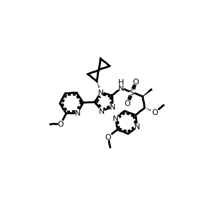 COc1cnc([C@@H](OC)[C@H](C)S(=O)(=O)Nc2nnc(-c3cccc(OC)n3)n2[C@@H]2CC23CC3)cn1